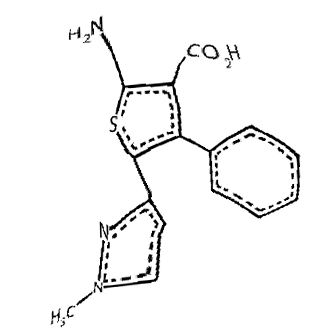 Cn1ccc(-c2sc(N)c(C(=O)O)c2-c2ccccc2)n1